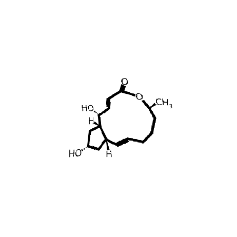 C[C@H]1CCC/C=C/[C@@H]2C[C@H](O)C[C@@H]2[C@H](O)/C=C/C(=O)O1